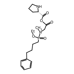 CCOP(=O)(CCCCc1ccccc1)N(C)CC(=O)OC(=O)[C@@H]1CCCN1